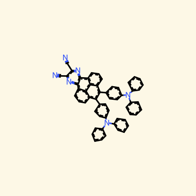 N#Cc1nc2c3cccc4c(-c5ccc(N(c6ccccc6)c6ccccc6)cc5)c(-c5ccc(N(c6ccccc6)c6ccccc6)cc5)c5cccc(c2nc1C#N)c5c43